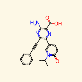 CC(C)n1cc(-c2nc(C(=O)O)c(N)nc2C#Cc2ccccc2)ccc1=O